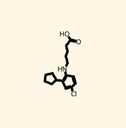 O=C(O)CCCCNc1ccc(Cl)cc1C1CCCC1